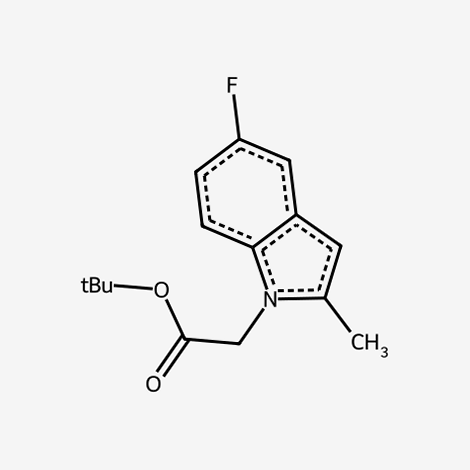 Cc1cc2cc(F)ccc2n1CC(=O)OC(C)(C)C